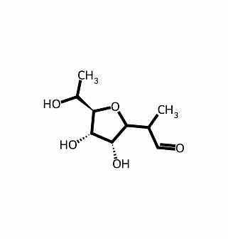 CC(C=O)C1O[C@H](C(C)O)[C@@H](O)[C@H]1O